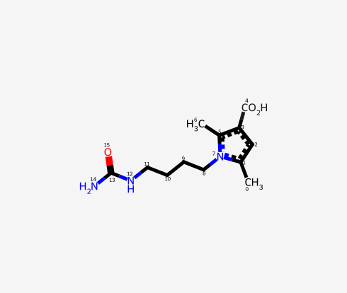 Cc1cc(C(=O)O)c(C)n1CCCCNC(N)=O